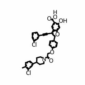 Cc1ccc(C2CCN(C(=O)COc3ccc(-c4oc5cc(O)c(C(=O)O)cc5c4C#Cc4cccc(Cl)c4)cc3)CC2)cc1Cl